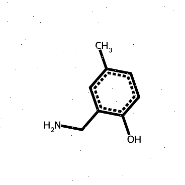 Cc1ccc(O)c(CN)c1